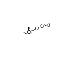 CCCc1cc(F)c(C#CC2CCC([C@H]3CC[C@H](/C=C/Cl)CC3)CC2)c(F)c1